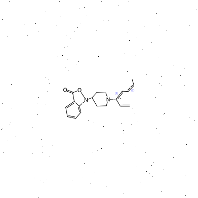 C=C/C(=C\C=C/C)N1CCC(n2oc(=O)c3ccccc32)CC1